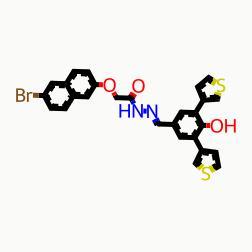 O=C(COc1ccc2cc(Br)ccc2c1)NN=Cc1cc(-c2ccsc2)c(O)c(-c2ccsc2)c1